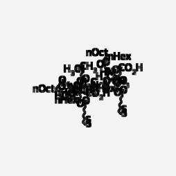 CCCCCCCCC(CCCCCC)COC(=O)CCNC(=O)C(C(C)(C)COC(=O)CCN(C)C)C(CCC(=O)O)(CC(CCCCCC)OC(=O)CCCCC1CCSS1)C(=O)O.CCCCCCCCC(CCCCCC)COC(=O)CCNC(=O)C(C(CCC(=O)O)C(=O)OCC(CCCCCC)OC(=O)CCCCC1CCSS1)C(C)(C)COC(=O)CCN(C)C